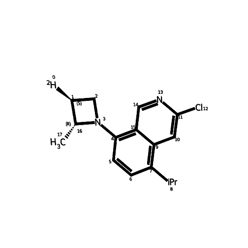 [2H][C@H]1CN(c2ccc(C(C)C)c3cc(Cl)ncc23)[C@@H]1C